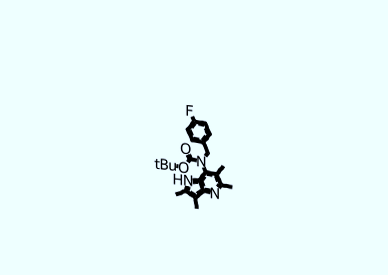 Cc1nc2c(C)c(C)[nH]c2c(N(Cc2ccc(F)cc2)C(=O)OC(C)(C)C)c1C